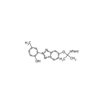 CCCCCC(C)(C)Oc1ccc2nn(-c3cc(C)ccc3O)nc2c1